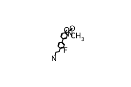 Cn1c(=O)oc2ccc(-c3ccc(CCC#N)c(F)c3)cc21